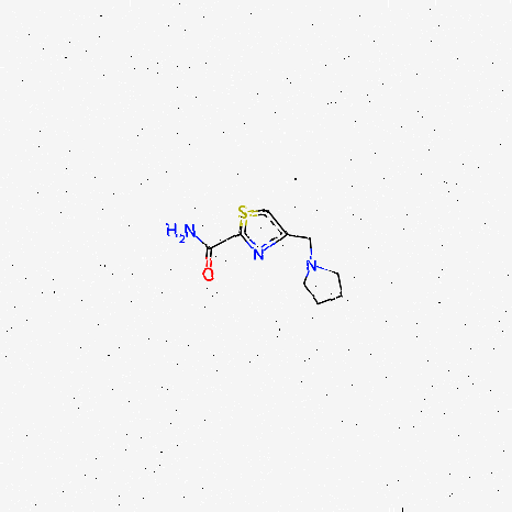 NC(=O)c1nc(CN2CCCC2)cs1